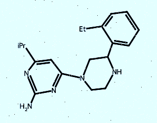 CCc1ccccc1C1CN(c2cc(C(C)C)nc(N)n2)CCN1